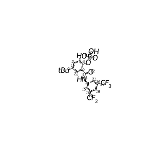 CC(C)(C)c1ccc(OP(=O)(O)O)c(C(=O)Nc2cc(C(F)(F)F)cc(C(F)(F)F)c2)c1